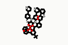 CC(C)(C)c1ccc2c(c1)c1ccccc1n2-c1cc2c3c(c1)N(c1c(-c4ccc5c(c4)sc4ccccc45)cccc1-c1ccc4c(c1)sc1ccccc14)c1ccc(-c4cccnc4)cc1B3c1cc(-c3cccnc3)ccc1S2